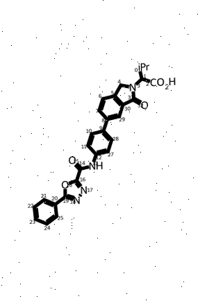 CC(C)C(C(=O)O)N1Cc2ccc(-c3ccc(NC(=O)c4nnc(-c5ccccc5)o4)cc3)cc2C1=O